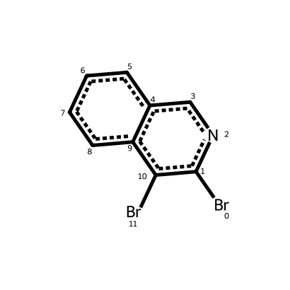 Brc1ncc2ccccc2c1Br